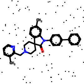 Cc1ccc2c(c1)N(c1ccc(-c3ccccc3)cc1)C(=O)C21CCN(Cc2ncccc2C)CC1